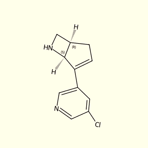 Clc1cncc(C2=CC[C@@H]3CN[C@H]23)c1